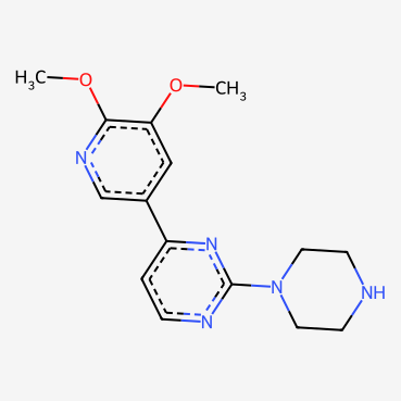 COc1cc(-c2ccnc(N3CCNCC3)n2)cnc1OC